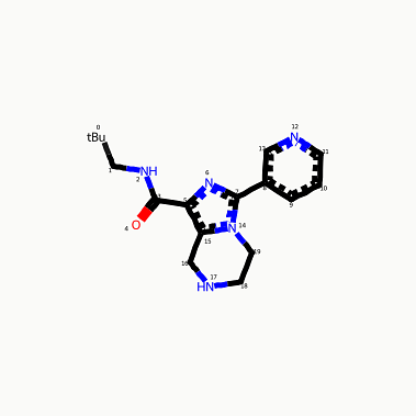 CC(C)(C)CNC(=O)c1nc(-c2cccnc2)n2c1CNCC2